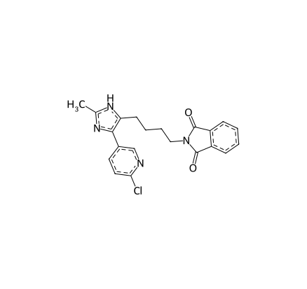 Cc1nc(-c2ccc(Cl)nc2)c(CCCCN2C(=O)c3ccccc3C2=O)[nH]1